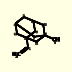 C=CC12CC3CC(CC(O)(C3)C1)C2